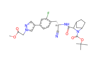 COC(=O)Cn1cc(-c2ccc(C[C@@H](C#N)NC(=O)C3C4CCC(C4)N3C(=O)OC(C)(C)C)c(F)c2)cn1